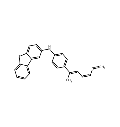 C=N/C=C\C=C(/C)c1ccc(Nc2ccc3sc4ccccc4c3c2)cc1